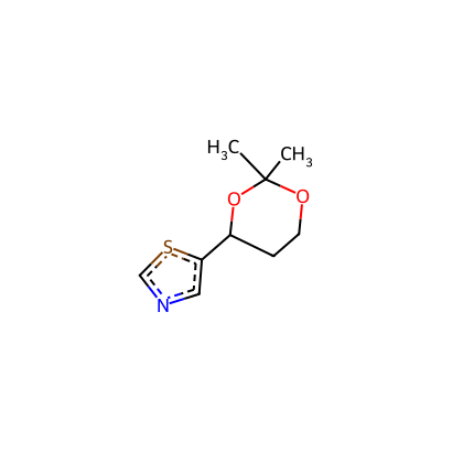 CC1(C)OCCC(c2cncs2)O1